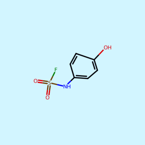 O=S(=O)(F)Nc1ccc(O)cc1